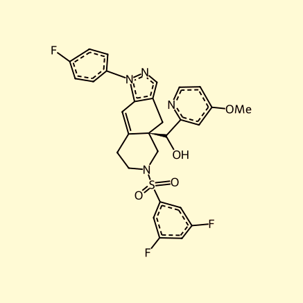 COc1ccnc(C(O)[C@]23Cc4cnn(-c5ccc(F)cc5)c4C=C2CCN(S(=O)(=O)c2cc(F)cc(F)c2)C3)c1